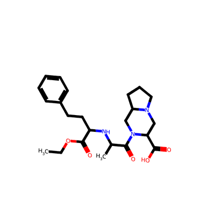 CCOC(=O)C(CCc1ccccc1)NC(C)C(=O)N1CC2CCCN2CC1C(=O)O